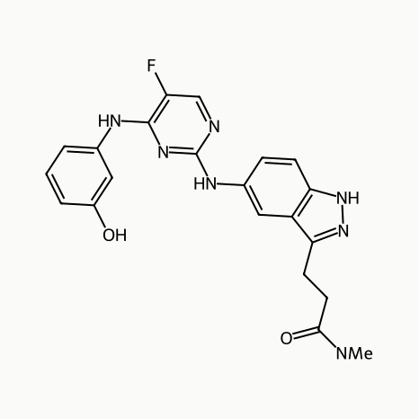 CNC(=O)CCc1n[nH]c2ccc(Nc3ncc(F)c(Nc4cccc(O)c4)n3)cc12